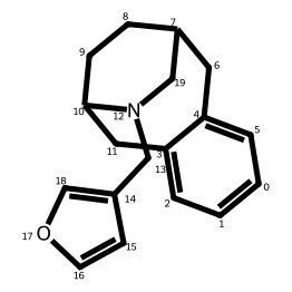 c1ccc2c(c1)CC1CCC(C2)N(Cc2ccoc2)C1